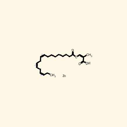 CC/C=C\C/C=C\C/C=C\CCCCCCCC(=O)OC=C(C)C(=O)O.[Zn]